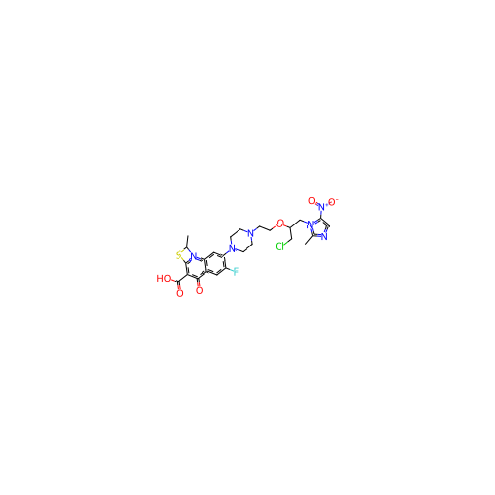 Cc1ncc([N+](=O)[O-])n1CC(CCl)OCCN1CCN(c2cc3c(cc2F)c(=O)c(C(=O)O)c2n3C(C)S2)CC1